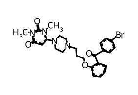 Cn1c(N2CCN(CCCOc3ccccc3C(=O)c3ccc(Br)cc3)CC2)cc(=O)n(C)c1=O